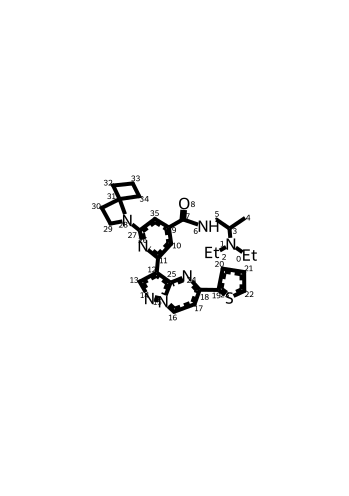 CCN(CC)C(C)CNC(=O)c1cc(-c2cnn3ccc(-c4cccs4)nc23)nc(N2CCC23CCC3)c1